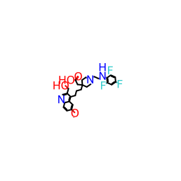 COc1ccc2ncc(CO)c(CCCC3(CC(=O)O)CCN(CCNc4c(F)cc(F)cc4F)CC3)c2c1